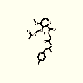 COc1ccnc(C(=O)NCC(=O)OC(C)Cc2ccc(C)cc2)c1OCOC(C)=O